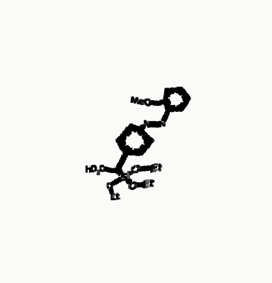 CCO[Si](OCC)(OCC)C(C(=O)O)c1ccc(N=Nc2ccccc2OC)cc1